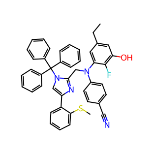 CCc1cc(O)c(F)c(N(Cc2nc(-c3ccccc3SC)cn2C(c2ccccc2)(c2ccccc2)c2ccccc2)c2ccc(C#N)cc2)c1